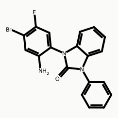 Nc1cc(Br)c(F)cc1-n1c(=O)n(-c2ccccc2)c2ccccc21